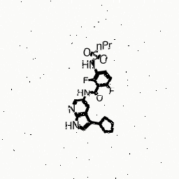 CCCS(=O)(=O)Nc1ccc(F)c(C(=O)Nc2cnc3[nH]cc(C4CCCC4)c3c2)c1F